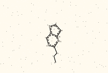 CCCc1ncc2sccc2n1